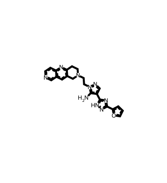 Nc1c(-c2nc(-c3ccco3)n[nH]2)cnn1CCN1CCc2nc3ccncc3cc2C1